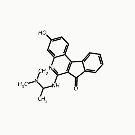 CC(Nc1nc2cc(O)ccc2c2c1C(=O)c1ccccc1-2)N(C)C